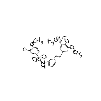 COc1ccc(S(=O)(=O)Nc2cccc(C=Cc3cc(OC)c(OC)c(OC)c3)c2)cc1Cl